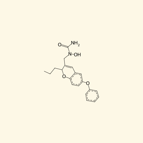 CCCC1Oc2ccc(Oc3ccccc3)cc2C=C1CN(O)C(N)=O